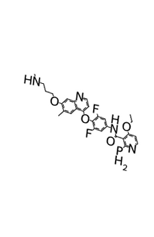 CCOc1ccnc(P)c1C(=O)Nc1cc(F)c(Oc2ccnc3cc(OCCCNC)c(C)cc23)c(F)c1